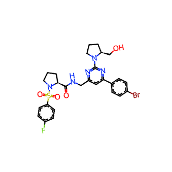 O=C(NCc1cc(-c2ccc(Br)cc2)nc(N2CCC[C@H]2CO)n1)[C@@H]1CCCN1S(=O)(=O)c1ccc(F)cc1